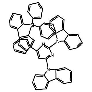 c1ccc([Si](c2ccccc2)(c2ccccc2)c2ccccc2-c2cccc(-c3cc(-n4c5ccccc5c5ccccc54)nc(-n4c5ccccc5c5ccccc54)n3)c2)cc1